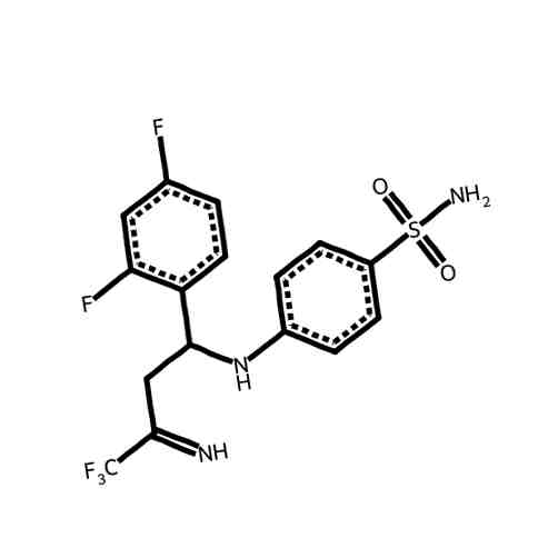 N=C(CC(Nc1ccc(S(N)(=O)=O)cc1)c1ccc(F)cc1F)C(F)(F)F